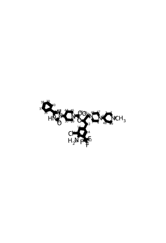 CN1CCC(N2CCN(C(=O)C(Cc3cc(Cl)c(N)c(C(F)(F)F)c3)OC(=O)N3CCC(n4nc(-c5ccccc5)[nH]c4=O)CC3)CC2)CC1